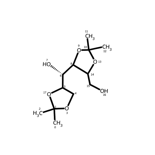 CC1(C)OCC([C@H](O)C2OC(C)(C)OC2CO)O1